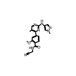 COc1cc(-c2nc(Nc3cnn(C)c3)ncc2C)ccc1C(=O)NCC#N